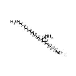 CCCCCCCCCCCCCCCCCC(CCCCCCCCCCCC)OC(N)=O